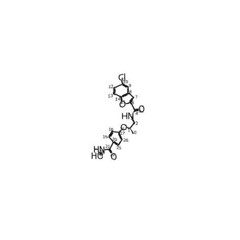 C[C@H](CNC(=O)c1cc2cc(Cl)ccc2o1)Oc1ccc(C(=O)NO)cc1